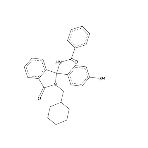 O=C(NC1(c2ccc(S)cc2)c2ccccc2C(=O)N1CC1CCCCC1)c1ccccc1